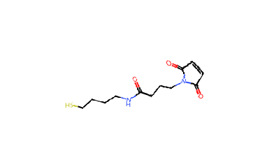 O=C(CCCN1C(=O)C=CC1=O)NCCCCS